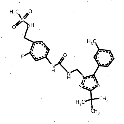 Cc1cccc(-c2nc(C(C)(C)C)sc2CNC(=O)Nc2ccc(CNS(C)(=O)=O)c(F)c2)c1